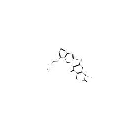 CC[C@@]1(O)C(=O)OCC2=C1CC1=C(C2=O)N2Cc3c(cccc3CC[Si](C)(C)CO)C=C2N1